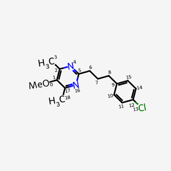 COc1c(C)nc(CCCc2ccc(Cl)cc2)nc1C